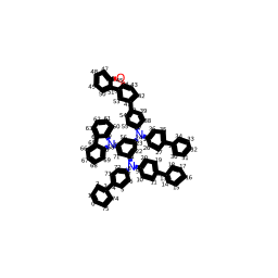 c1ccc(-c2ccc(N(c3ccc(-c4ccccc4)cc3)c3cc(N(c4ccc(-c5ccccc5)cc4)c4ccc(-c5ccc6oc7ccccc7c6c5)cc4)cc(-n4c5ccccc5c5ccccc54)c3)cc2)cc1